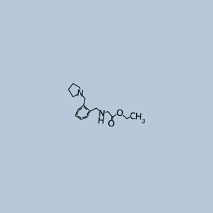 CCOC(=O)CNCc1ccccc1CN1CCCC1